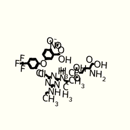 CCNc1nc(Cl)nc(NC(C)C)n1.CP(=O)(O)CCC(N)C(=O)O.O=C(O)c1cc(Oc2ccc(C(F)(F)F)cc2Cl)ccc1[N+](=O)[O-]